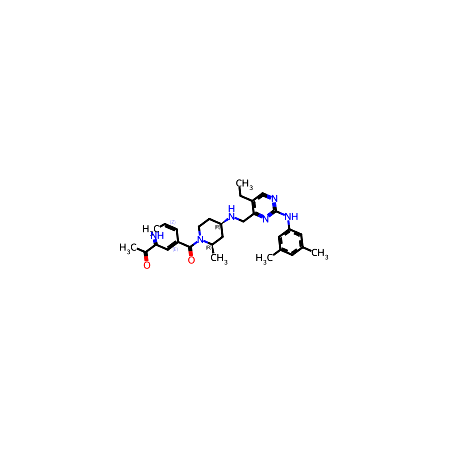 C/C=C\C(=C/C(=N)C(C)=O)C(=O)N1CC[C@@H](NCc2nc(Nc3cc(C)cc(C)c3)ncc2CC)C[C@H]1C